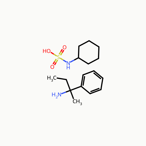 CCC(C)(N)c1ccccc1.O=S(=O)(O)NC1CCCCC1